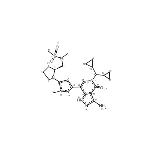 CN(C[C@@H]1CCCN1c1cc(-c2cn(C(C3CC3)C3CC3)c(=O)c3c(N)n[nH]c23)nn1C)S(C)(=O)=O